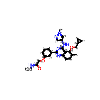 Cc1ccc2nc(-c3cccc(OCC(=O)NC(C)(C)C)c3)nc(Nc3cnn(C)c3)c2c1OCC1CC1